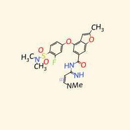 CN/C=C\C(=N)NC(=O)c1cc(Oc2ccc(S(=O)(=O)N(C)C)c(F)c2)c2cc(C)oc2c1